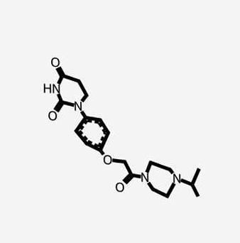 CC(C)N1CCN(C(=O)COc2ccc(N3CCC(=O)NC3=O)cc2)CC1